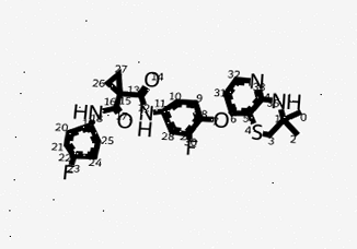 CC1(C)CSc2c(Oc3ccc(NC(=O)C4(C(=O)Nc5ccc(F)cc5)CC4)cc3F)ccnc2N1